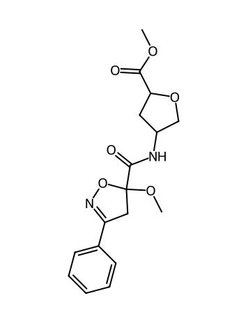 COC(=O)C1CC(NC(=O)C2(OC)CC(c3ccccc3)=NO2)CO1